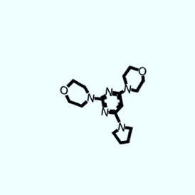 c1c(N2CCCC2)nc(N2CCOCC2)nc1N1CCOCC1